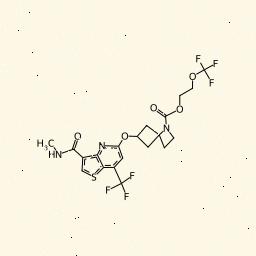 CNC(=O)c1csc2c(C(F)(F)F)cc(OC3CC4(CCN4C(=O)OCCOC(F)(F)F)C3)nc12